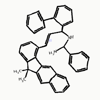 CC1(C)c2cc3ccccc3cc2-c2c(/C=C/C(NC(N)c3ccccc3)c3ccccc3-c3ccccc3)cccc21